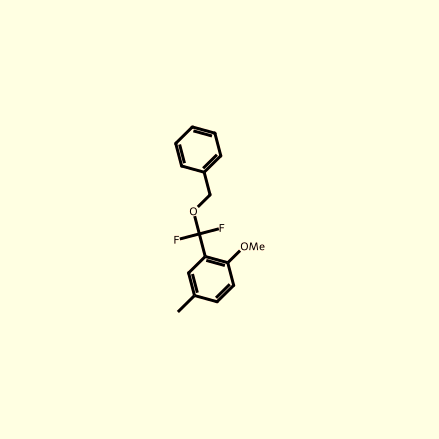 COc1ccc(C)cc1C(F)(F)OCc1ccccc1